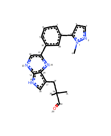 Cn1nccc1-c1cccc(-c2cnc3[nH]cc(CC(C)(C)C=O)c3n2)c1